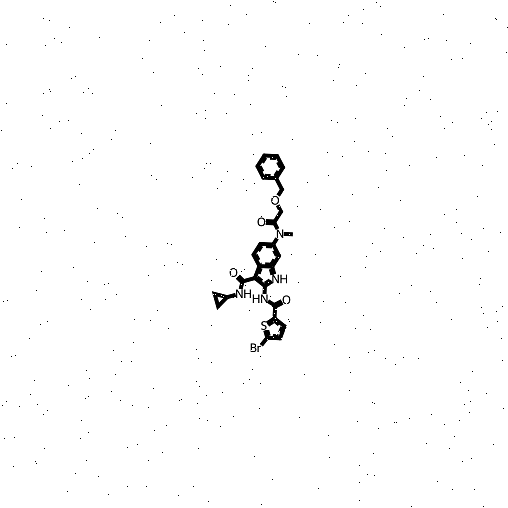 CN(C(=O)COCc1ccccc1)c1ccc2c(C(=O)NC3CC3)c(NC(=O)c3ccc(Br)s3)[nH]c2c1